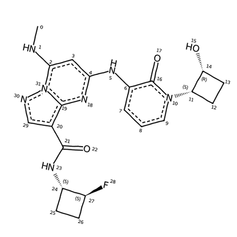 CNc1cc(Nc2cccn([C@H]3CC[C@H]3O)c2=O)nc2c(C(=O)N[C@H]3CC[C@@H]3F)cnn12